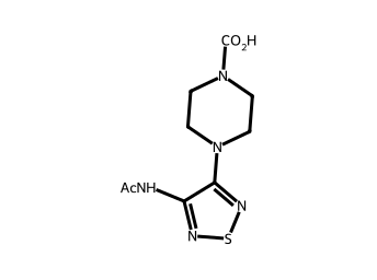 CC(=O)Nc1nsnc1N1CCN(C(=O)O)CC1